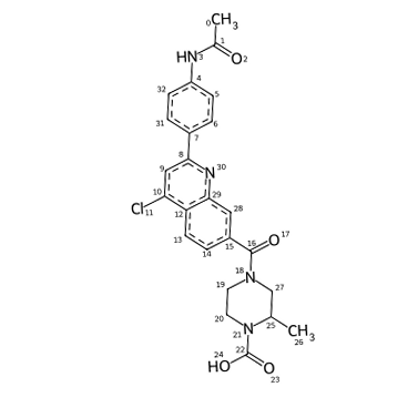 CC(=O)Nc1ccc(-c2cc(Cl)c3ccc(C(=O)N4CCN(C(=O)O)C(C)C4)cc3n2)cc1